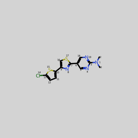 CN(C)c1ncc(-c2nc(-c3ccc(Cl)s3)[c]s2)cn1